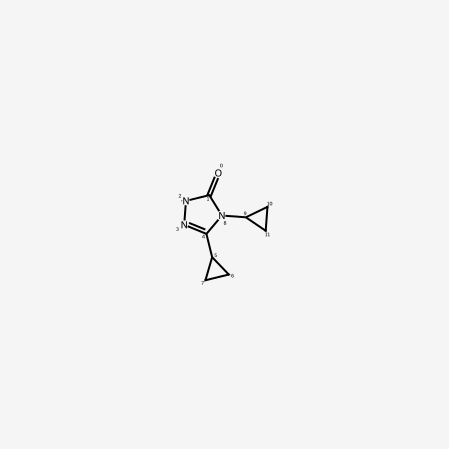 O=C1[N]N=C(C2CC2)N1C1CC1